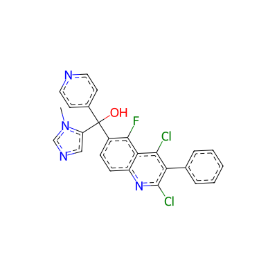 Cn1cncc1C(O)(c1ccncc1)c1ccc2nc(Cl)c(-c3ccccc3)c(Cl)c2c1F